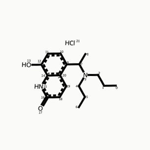 CCCN(CCC)C(C)c1ccc(O)c2[nH]c(=O)ccc12.Cl